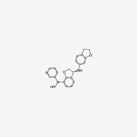 CCCN(c1cccnc1)c1cccc2c1OC[C@H]2Nc1ccc2c(c1)OC[CH]2